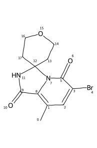 Cc1cc(Br)c(=O)n2c1C(=O)NC21CCOCC1